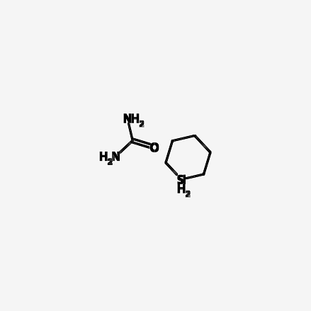 C1CC[SiH2]CC1.NC(N)=O